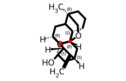 C=C1[C@H]2CC[C@]3(C(C2)[C@@]24CCC[C@@]5(C)CO[C@@H]2O[C@@H]3CC54)[C@H]1O